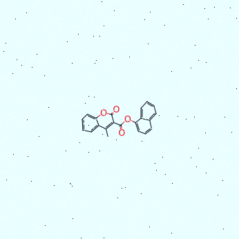 Cc1c(C(=O)Oc2cccc3ccccc23)c(=O)oc2ccccc12